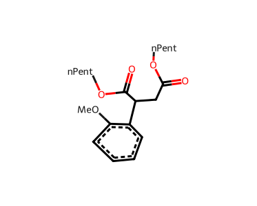 CCCCCOC(=O)CC(C(=O)OCCCCC)c1ccccc1OC